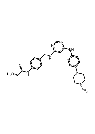 C=CC(=O)Nc1ccc(CNc2cc(Nc3ccc(N4CCN(C)CC4)cc3)ncn2)cc1